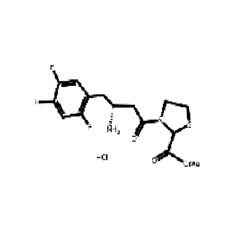 COC(=O)C1SCCN1C(=O)C[C@H](N)Cc1cc(F)c(F)cc1F.Cl